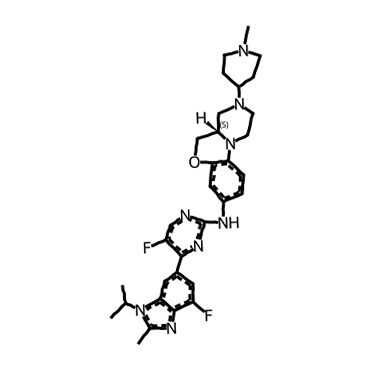 Cc1nc2c(F)cc(-c3nc(Nc4ccc5c(c4)OC[C@@H]4CN(C6CCN(C)CC6)CCN54)ncc3F)cc2n1C(C)C